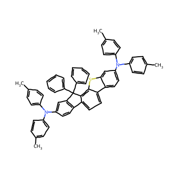 Cc1ccc(N(c2ccc(C)cc2)c2ccc3c(c2)C(c2ccccc2)(c2ccccc2)c2c-3ccc3c2sc2cc(N(c4ccc(C)cc4)c4ccc(C)cc4)ccc23)cc1